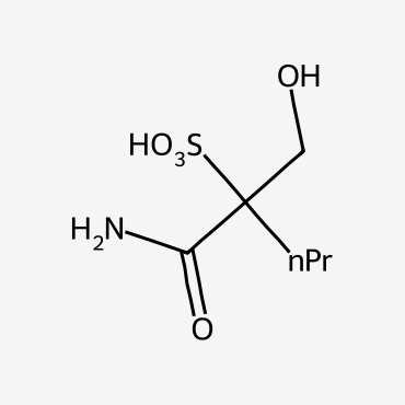 CCCC(CO)(C(N)=O)S(=O)(=O)O